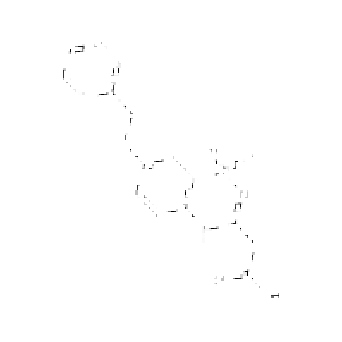 O=C(O)CC1=NS(=O)(=O)c2cc(OCc3ccccc3)ccc2N1